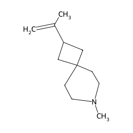 C=C(C)C1CC2(CCN(C)CC2)C1